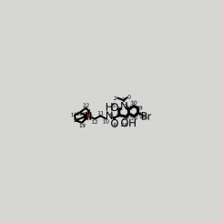 CC(C)n1c(=O)c(C(=O)NCCCN2C3CC4CC(C3)CC2C4)c(O)c2cc(Br)ccc21